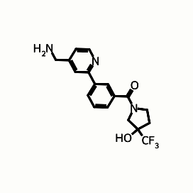 NCc1ccnc(-c2cccc(C(=O)N3CCC(O)(C(F)(F)F)C3)c2)c1